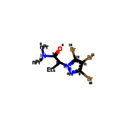 CCCN(CCC)C(=O)C(CC)n1nc(Br)c(Br)c1Br